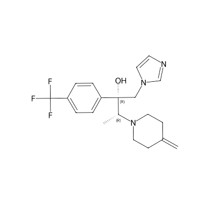 C=C1CCN([C@H](C)[C@](O)(Cn2ccnc2)c2ccc(C(F)(F)F)cc2)CC1